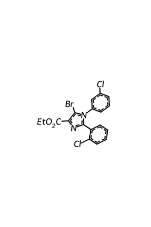 CCOC(=O)c1nc(-c2ccccc2Cl)n(-c2cccc(Cl)c2)c1Br